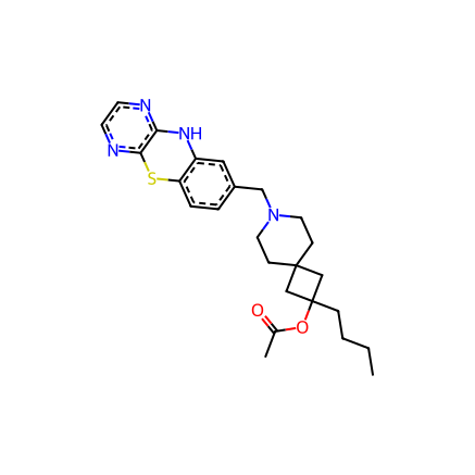 CCCCC1(OC(C)=O)CC2(CCN(Cc3ccc4c(c3)Nc3nccnc3S4)CC2)C1